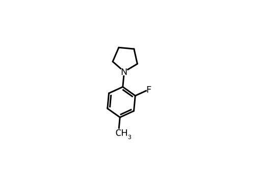 Cc1ccc(N2CCCC2)c(F)c1